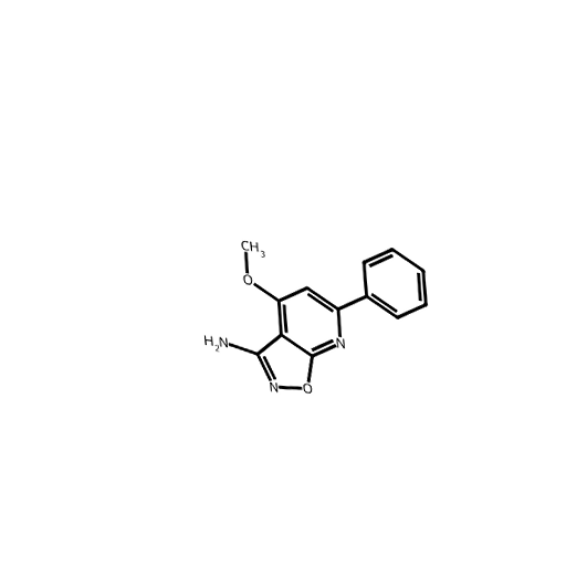 COc1cc(-c2ccccc2)nc2onc(N)c12